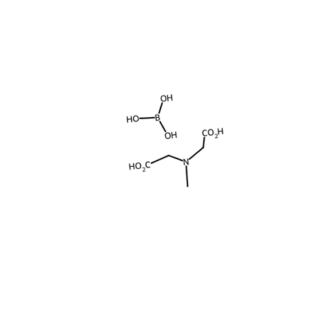 CN(CC(=O)O)CC(=O)O.OB(O)O